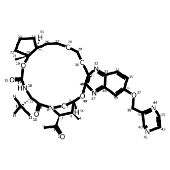 CC(=O)[C@@H]1[C@H](C)[C@@H]2CN1C(=O)[C@H](C(C)(C)C)NC(=O)O[C@]1(C)CCC[C@H]1CCCCCc1nc3ccc(OCc4cnccn4)cc3nc1O2